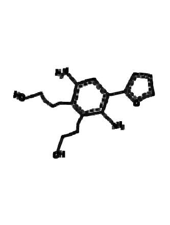 Nc1cc(-c2ccco2)c(N)c(CCO)c1CCO